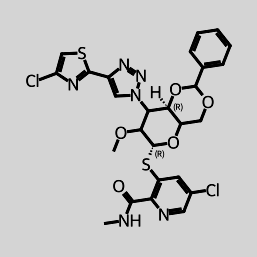 CNC(=O)c1ncc(Cl)cc1S[C@H]1OC2COC(c3ccccc3)O[C@@H]2C(n2cc(-c3nc(Cl)cs3)nn2)C1OC